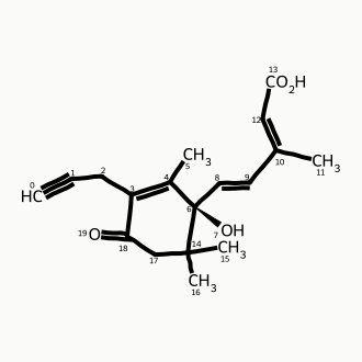 C#CCC1=C(C)[C@](O)(C=CC(C)=CC(=O)O)C(C)(C)CC1=O